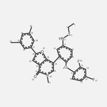 CCSNc1ccc(Oc2ccc(F)cc2F)c(-c2cn(C)c(=O)c3cc(-c4cc(C)cc(C)c4)oc23)c1